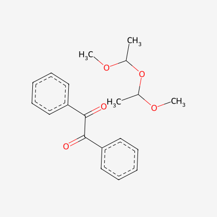 COC(C)OC(C)OC.O=C(C(=O)c1ccccc1)c1ccccc1